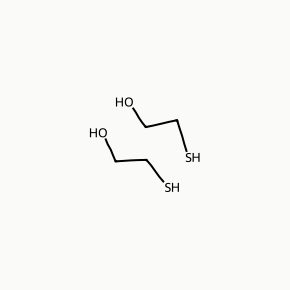 OCCS.OCCS